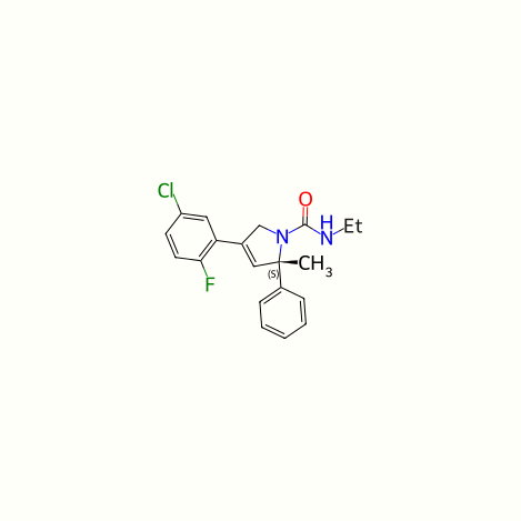 CCNC(=O)N1CC(c2cc(Cl)ccc2F)=C[C@@]1(C)c1ccccc1